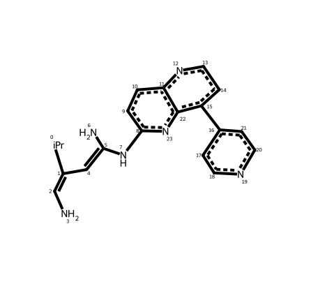 CC(C)C(=C/N)/C=C(\N)Nc1ccc2nccc(-c3ccncc3)c2n1